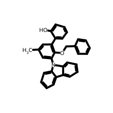 Cc1cc(-c2ccccc2O)c(OCc2ccccc2)c(-n2c3ccccc3c3ccccc32)c1